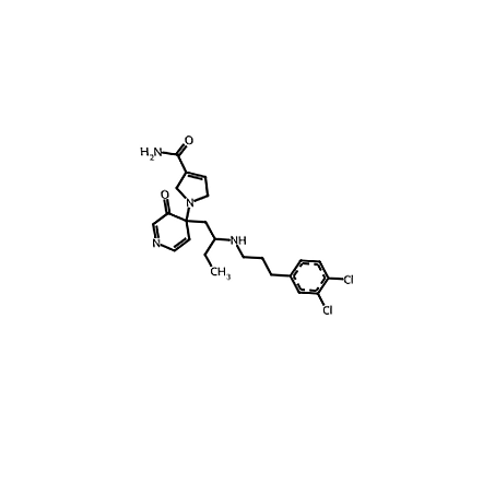 CCC(CC1(N2CC=C(C(N)=O)C2)C=CN=CC1=O)NCCCc1ccc(Cl)c(Cl)c1